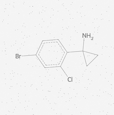 NC1(c2ccc(Br)cc2Cl)CC1